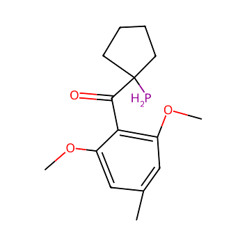 COc1cc(C)cc(OC)c1C(=O)C1(P)CCCC1